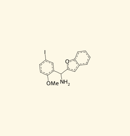 COc1ccc(I)cc1C(N)c1cc2ccccc2o1